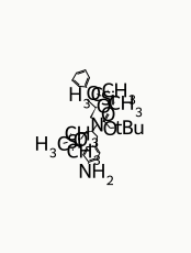 CC(C)(C)OC(=O)N(C[C@@H](COc1ccccc1)O[Si](C)(C)C)[C@H](CO[Si](C)(C)C)Cc1ccc(N)cc1